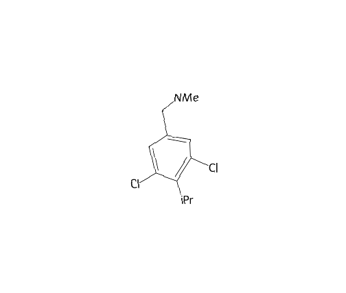 CNCc1cc(Cl)c(C(C)C)c(Cl)c1